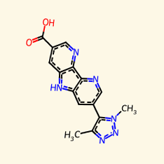 Cc1nnn(C)c1-c1cnc2c(c1)[nH]c1cc(C(=O)O)cnc12